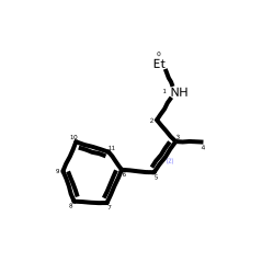 CCNC/C(C)=C\c1ccccc1